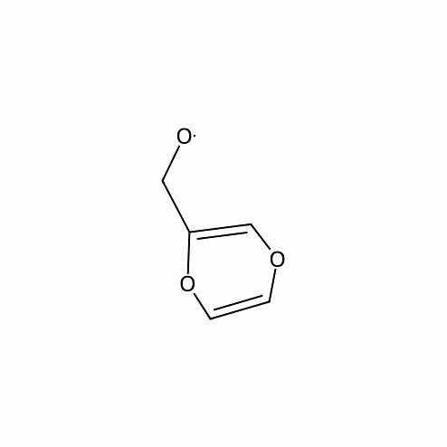 [O]CC1=COC=CO1